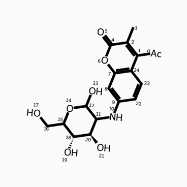 CC(=O)c1c(C)c(=O)oc2cc(NC3C(O)OC(CO)[C@@H](O)[C@@H]3O)ccc12